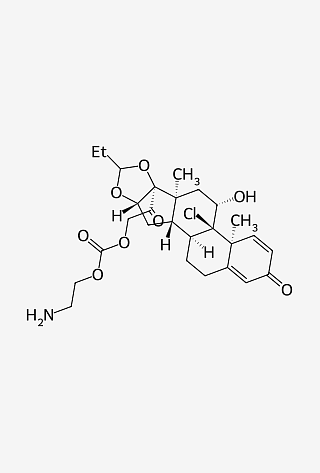 CCC1O[C@H]2C[C@H]3[C@@H]4CCC5=CC(=O)C=C[C@]5(C)[C@@]4(Cl)[C@@H](O)C[C@]3(C)[C@]2(C(=O)COC(=O)OCCN)O1